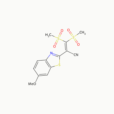 COc1ccc2nc(C(C#N)=C(S(C)(=O)=O)S(C)(=O)=O)sc2c1